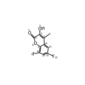 Cc1c(O)c(=O)oc2c(F)cc(F)cc12